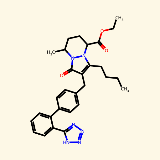 CCCCc1c(Cc2ccc(-c3ccccc3-c3nnn[nH]3)cc2)c(=O)n2n1C(C(=O)OCC)CCC2C